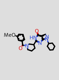 COc1cccc(C(=O)N2CCCC(c3nc4c(cnn4C4CCCCC4)c(=O)[nH]3)C2)c1